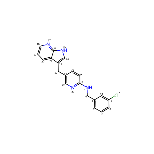 Clc1cccc(CNc2ccc(Cc3c[nH]c4ncccc34)cn2)c1